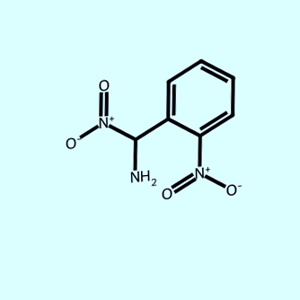 NC(c1ccccc1[N+](=O)[O-])[N+](=O)[O-]